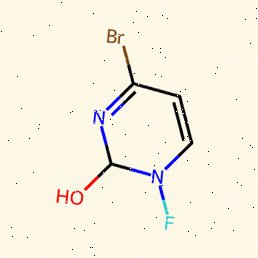 OC1N=C(Br)C=CN1F